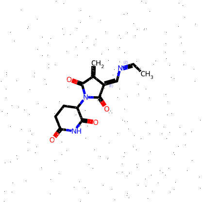 C=C1C(=O)N(C2CCC(=O)NC2=O)C(=O)/C1=C/N=C\C